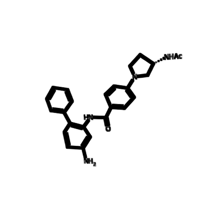 CC(=O)N[C@H]1CCN(c2ccc(C(=O)Nc3cc(N)ccc3-c3ccccc3)cc2)C1